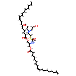 CCCCCCCC/C=C\CCCCCCCC(=O)OCC(COC(=O)CCCCCCC/C=C\CCCCCCCC)NC(=O)SCCN(CCO)CCO